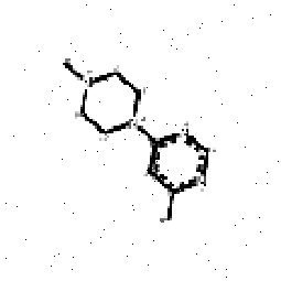 Cc1cc(N2CCN(C)CC2)ncn1